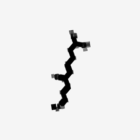 C=CC=CC(=O)C=CCCC(O)CC